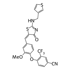 COc1cc(/C=C2/SC(NCc3ccsc3)=NC2=O)ccc1Oc1ccc(C#N)cc1C(F)(F)F